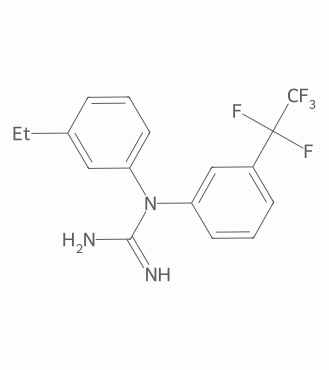 CCc1cccc(N(C(=N)N)c2cccc(C(F)(F)C(F)(F)F)c2)c1